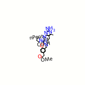 CCCCCNc1nc(N)nc(C)c1CCCN(Cc1cccc(CC(=O)OC)c1)C(=O)C(CC)N1CCCC1C(=O)O